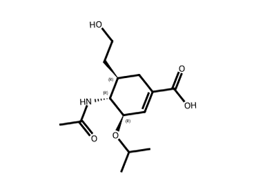 CC(=O)N[C@@H]1[C@@H](CCO)CC(C(=O)O)=C[C@H]1OC(C)C